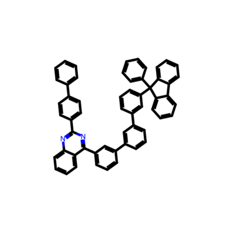 c1ccc(-c2ccc(-c3nc(-c4cccc(-c5cccc(-c6cccc(C7(c8ccccc8)c8ccccc8-c8ccccc87)c6)c5)c4)c4ccccc4n3)cc2)cc1